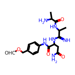 CC(N)C(=O)NC(C)C(=N)NC(CC(N)=O)C(=O)Nc1ccc(COC=O)cc1